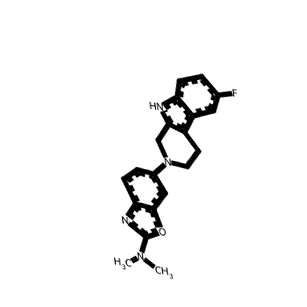 CN(C)c1nc2ccc(N3CCc4c([nH]c5ccc(F)cc45)C3)cc2o1